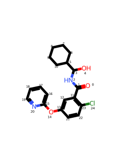 O=C(NC(O)C1CCCCC1)c1cc(Oc2ccccn2)ccc1Cl